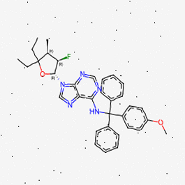 CCC1(CC)O[C@@H](n2cnc3c(NC(c4ccccc4)(c4ccccc4)c4ccc(OC)cc4)ncnc32)[C@H](F)[C@@H]1C